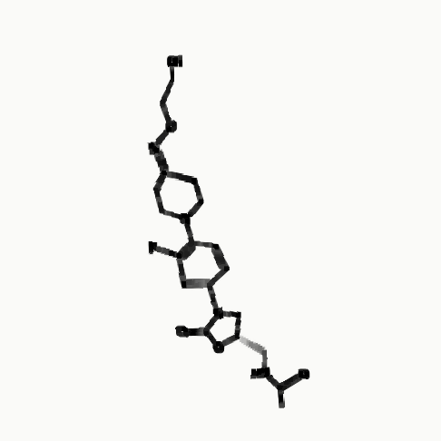 CC(=O)NC[C@H]1CN(c2ccc(N3CCC(=NOCCO)CC3)c(F)c2)C(=O)O1